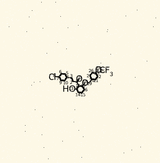 O=C(/C=C/c1ccc(Cl)cc1)c1c(O)cccc1OCc1ccc(OC(F)(F)F)cc1